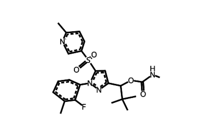 CNC(=O)OC(c1cc(S(=O)(=O)c2ccc(C)nc2)n(-c2cccc(C)c2F)n1)C(C)(C)C